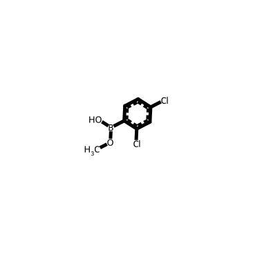 COB(O)c1ccc(Cl)cc1Cl